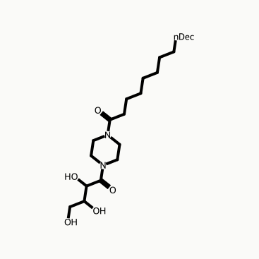 CCCCCCCCCCCCCCCCCC(=O)N1CCN(C(=O)C(O)C(O)CO)CC1